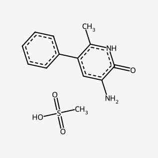 CS(=O)(=O)O.Cc1[nH]c(=O)c(N)cc1-c1ccccc1